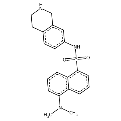 CN(C)c1cccc2c(S(=O)(=O)Nc3ccc4c(c3)CNCC4)cccc12